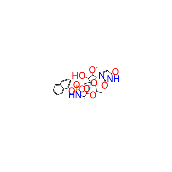 CO[C@H]1[C@H](n2ccc(=O)[nH]c2=O)O[C@](F)(CO[P@@](=O)(N[C@@H](C)C(=O)OC(C)C)Oc2cccc3ccccc23)[C@H]1O